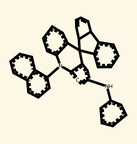 C1=CC2c3ccccc3C3(c4ccccc4N(c4cccc5ccccc45)c4ccc(Nc5ccccc5)cc43)C2C=C1